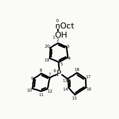 CCCCCCCCO.c1ccc(P(c2ccccc2)c2ccccc2)cc1